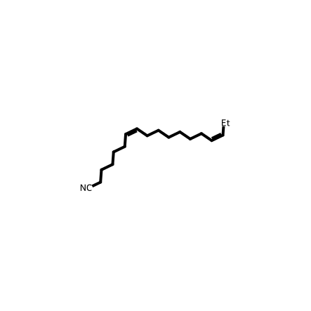 CC/C=C\CCCCCC/C=C\CCCCCC#N